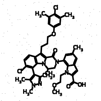 COCCn1c(C(=O)O)cc2cc(C)cc(N3CC(C)n4c(c(CCCOc5cc(C)c(Cl)c(C)c5)c5ccc(Cl)c(-c6c(C)nn(C)c6C)c54)C3=O)c21